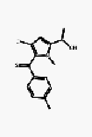 Cc1ccc(C(=S)c2c(Cl)cc(C(C)C#N)n2C)cc1